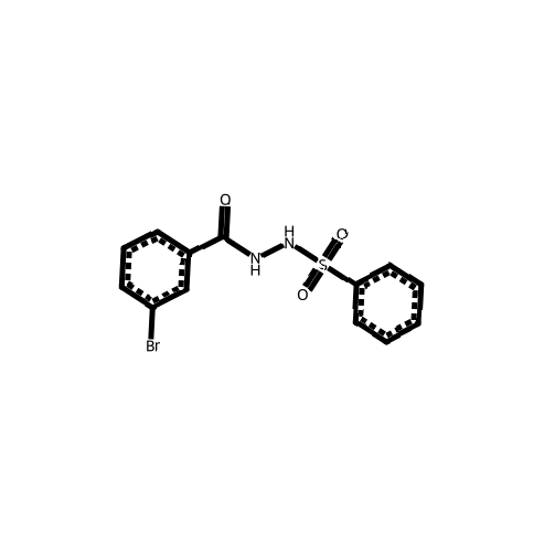 O=C(NNS(=O)(=O)c1ccccc1)c1cccc(Br)c1